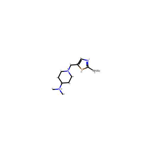 CC(=O)Nc1ncc(CN2CCC(N(C)C)CC2)s1